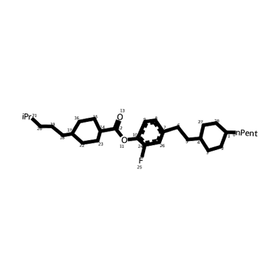 CCCCCC1CCC(CCc2ccc(OC(=O)C3CCC(CCCC(C)C)CC3)c(F)c2)CC1